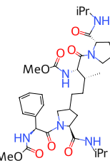 COC(=O)N[C@H](C(=O)N1CC(CC[C@@H](C)[C@H](NC(=O)OC)C(=O)N2CCC[C@H]2C(=O)NC(C)C)C[C@H]1C(=O)NC(C)C)c1ccccc1